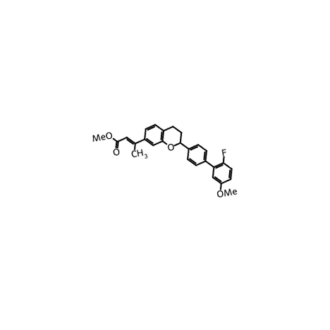 COC(=O)/C=C(\C)c1ccc2c(c1)OC(c1ccc(-c3cc(OC)ccc3F)cc1)CC2